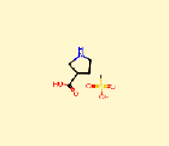 CS(=O)(=O)O.O=C(O)C1CCNC1